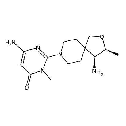 C[C@@H]1OCC2(CCN(c3nc(N)[c]c(=O)n3C)CC2)[C@@H]1N